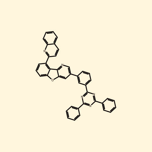 c1ccc(-c2nc(-c3ccccc3)nc(-c3cccc(-c4cnc5c(c4)oc4cccc(-c6ccc7ccccc7n6)c45)c3)n2)cc1